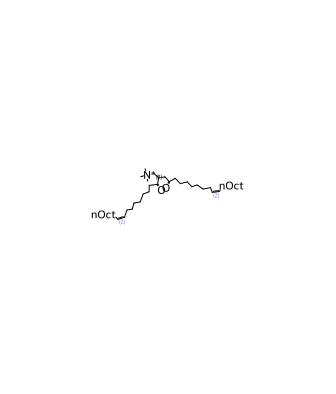 CCCCCCCC/C=C\CCCCCCCC(=O)C[C@H](C[N+](C)(C)C)C(=O)CCCCCCC/C=C\CCCCCCCC